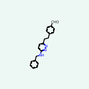 O=Cc1ccc(CCc2ccc(NCc3ccccc3)nn2)cc1